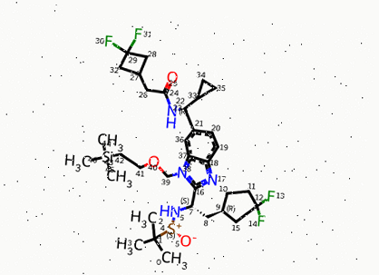 CC(C)(C)[S@@+]([O-])N[C@@H](C[C@H]1CCC(F)(F)C1)c1nc2ccc([C@H](NC(=O)CC3CC(F)(F)C3)C3CC3)cc2n1COCC[Si](C)(C)C